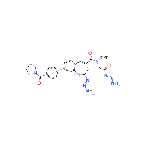 CCCN(CC(=O)N=NN)C(=O)C1=Cc2ccc(-c3ccc(C(=O)N4CCCC4)cc3)cc2NC(N=NN)C1